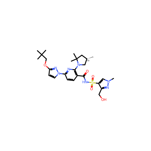 C[C@@H]1CN(c2nc(-n3ccc(OCC(C)(C)C)n3)ccc2C(=O)NS(=O)(=O)c2cn(C)nc2CO)C(C)(C)C1